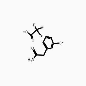 NC(=O)Cc1cccc(Br)c1.O=C(O)C(F)(F)F